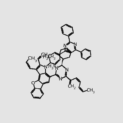 C=Cc1c(/C=C\C)c2c3oc4ccccc4c3cc(C3=NC(C(=C)/C=C\C=C/C)=N[C@H](C4CC=CCC4)N3C)c2n1C(C)/C=C\C(=C/C)c1cc(-c2ccccc2)nc(-c2ccccc2)n1